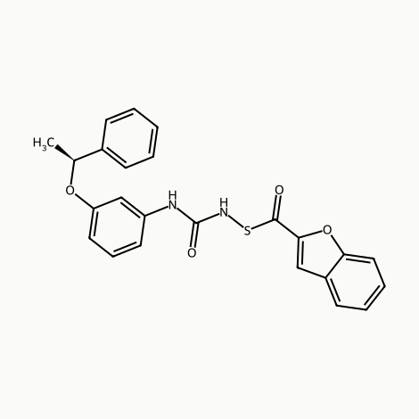 C[C@H](Oc1cccc(NC(=O)NSC(=O)c2cc3ccccc3o2)c1)c1ccccc1